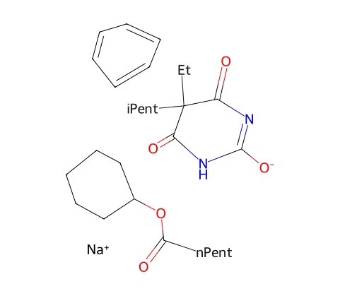 CCCC(C)C1(CC)C(=O)N=C([O-])NC1=O.CCCCCC(=O)OC1CCCCC1.[Na+].c1ccccc1